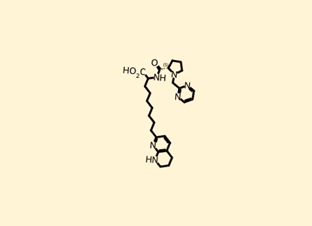 O=C(O)C(CCCCCCCc1ccc2c(n1)NCCC2)NC(=O)[C@@H]1CCCN1Cc1ncccn1